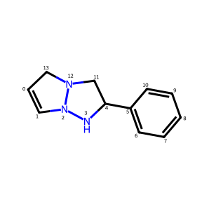 C1=CN2NC(c3ccccc3)CN2C1